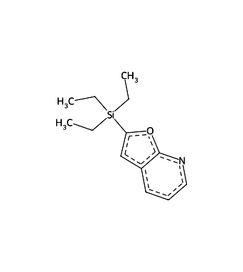 CC[Si](CC)(CC)c1cc2cccnc2o1